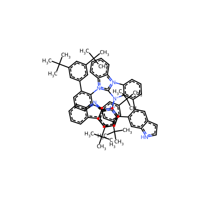 CC(C)(C)c1cc(-c2cccc(-c3cc(C(C)(C)C)cc(C(C)(C)C)c3)c2-[n+]2c3n(c4ccccc42)-c2cccc4c2[N+]32c3c(ccc5c6ccccc6n(c35)-c3cc(C(C)(C)C)cc[n+]32)-c2cc3[nH]ccc3cc2-4)cc(C(C)(C)C)c1